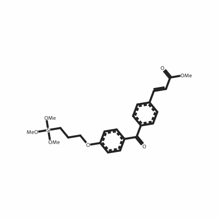 COC(=O)C=Cc1ccc(C(=O)c2ccc(OCCC[Si](OC)(OC)OC)cc2)cc1